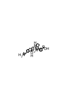 NN=Cc1ccc(CCCCNC2(C(=O)NN)C=CC=CC2=Cc2cccc(C(=O)O)c2)c(C(=O)O)c1